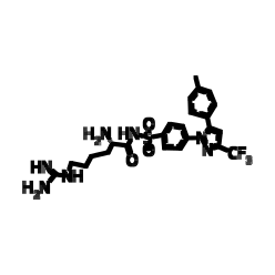 Cc1ccc(-c2cc(C(F)(F)F)nn2-c2ccc(S(=O)(=O)NC(=O)[C@@H](N)CCCCNC(=N)N)cc2)cc1